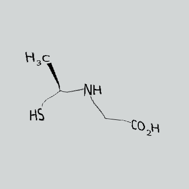 C[C@H](S)NCC(=O)O